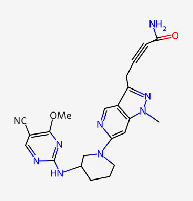 COc1nc(NC2CCCN(c3cc4c(cn3)c(CC#CC(N)=O)nn4C)C2)ncc1C#N